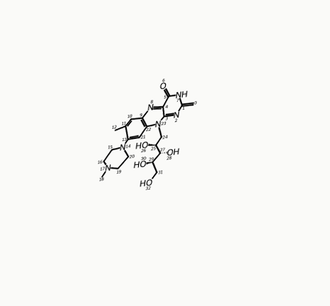 C=c1nc2c(c(=O)[nH]1)=Nc1cc(C)c(N3CCN(C)CC3)cc1N2C[C@H](O)[C@H](O)[C@H](O)CO